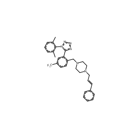 Cc1cccc(C)c1-n1nnnc1-c1cc(C(F)(F)F)ccc1CN1CCN(CC=Cc2ccccc2)CC1